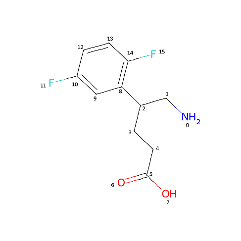 NCC(CCC(=O)O)c1cc(F)ccc1F